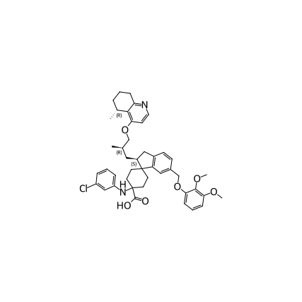 COc1cccc(OCc2ccc3c(c2)C2(CCC(Nc4cccc(Cl)c4)(C(=O)O)CC2)[C@@H](C[C@@H](C)COc2ccnc4c2[C@H](C)CCC4)C3)c1OC